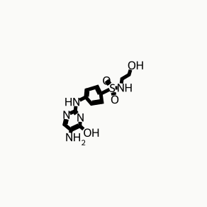 Nc1cnc(Nc2ccc(S(=O)(=O)NCCO)cc2)nc1O